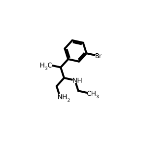 CCNC(CN)C(C)c1cccc(Br)c1